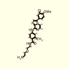 COc1ccc(-c2cnc3c(Nc4ccc(C(=O)NCCOCCN)c(C)c4)nccn23)cc1Cl